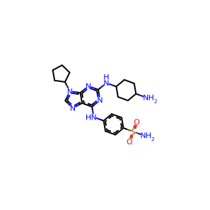 NC1CCC(Nc2nc(Nc3ccc(S(N)(=O)=O)cc3)c3ncn(C4CCCC4)c3n2)CC1